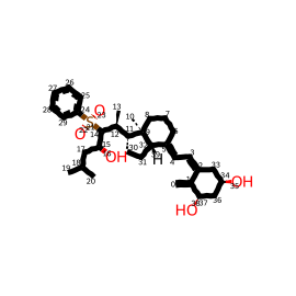 C=C1C(=CC=C2CCC[C@]3(C)[C@@H]([C@H](C)C(C(O)CC(C)C)S(=O)(=O)c4ccccc4)CC[C@@H]23)C[C@@H](O)C[C@@H]1O